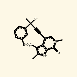 CCOC(=O)c1c(C)[nH]c2c(=O)n(C)cc(C#CC(C)(O)c3cccc(C)c3)c12